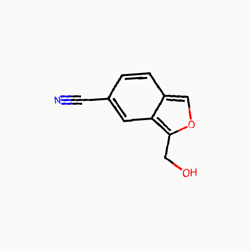 N#Cc1ccc2coc(CO)c2c1